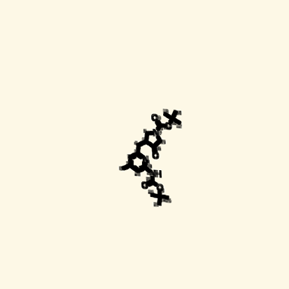 Cc1cc(CC2CN(C(=O)OC(C)(C)C)CC2=O)nc(NC(=O)OC(C)(C)C)c1